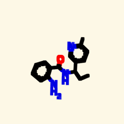 CCC(NC(=O)c1ccccc1N)c1ccc(C)nc1